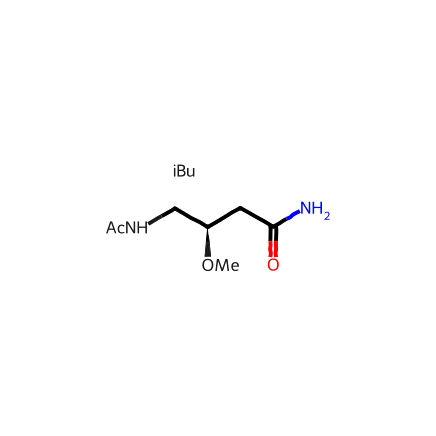 CC[C@H](C)C(NC(C)=O)[C@@H](CC(N)=O)OC